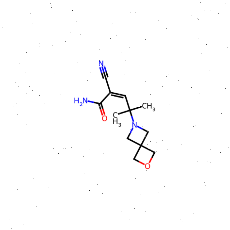 CC(C)(C=C(C#N)C(N)=O)N1CC2(COC2)C1